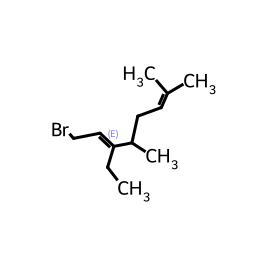 CC/C(=C\CBr)C(C)CC=C(C)C